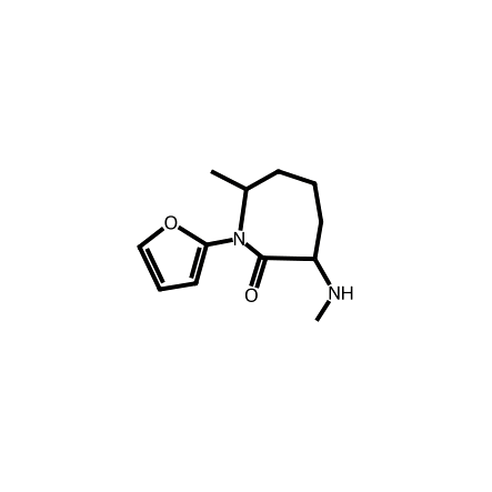 CNC1CCCC(C)N(c2ccco2)C1=O